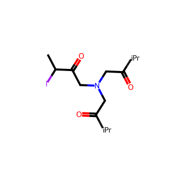 CC(C)C(=O)CN(CC(=O)C(C)C)CC(=O)C(C)I